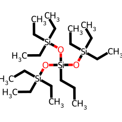 CCC[Si](O[Si](CC)(CC)CC)(O[Si](CC)(CC)CC)O[Si](CC)(CC)CC